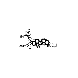 COC(=O)O[C@H]1CC[C@@]2(C)[C@@H](CC[C@]3(C)[C@@H]2C(=O)C=C2[C@@H]4C[C@@](C)(C(=O)O)CC[C@]4(C)CC[C@]23C)[C@]1(C)C(=O)OCc1oc(=O)oc1C(C)C